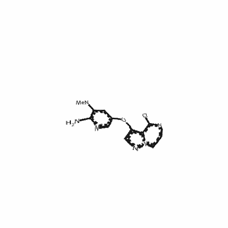 CNc1cc(Oc2cnn3ccnc(Cl)c23)cnc1N